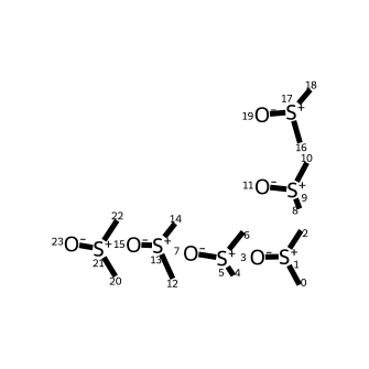 C[S+](C)[O-].C[S+](C)[O-].C[S+](C)[O-].C[S+](C)[O-].C[S+](C)[O-].C[S+](C)[O-]